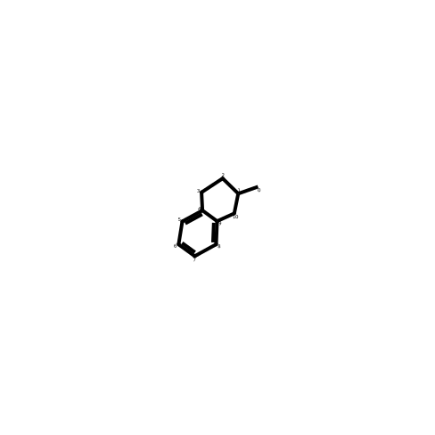 CC1CCc2cc[c]cc2C1